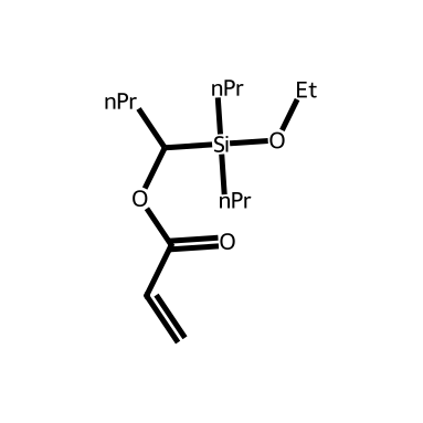 C=CC(=O)OC(CCC)[Si](CCC)(CCC)OCC